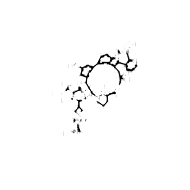 CCn1c(-c2cccnc2[C@H](C)OC)c2c3cc(ccc31)-c1cc(O)cc(c1)C[C@H](NC(=O)[C@H](C(C)C)N(C)C(=O)C1CN(S(=O)(=O)C3=CN3C)C1)C(=O)N1CCC[C@H](N1)C(=O)OCC(C)(C)C2